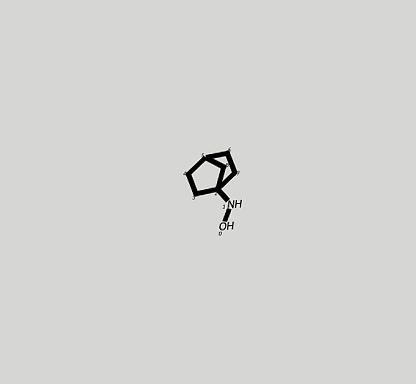 ONC12CCC(CC1)C2